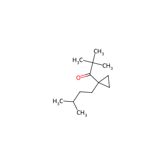 CC(C)CCC1(C(=O)C(C)(C)C)CC1